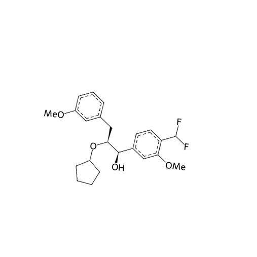 COc1cccc(C[C@H](OC2CCCC2)[C@H](O)c2ccc(C(F)F)c(OC)c2)c1